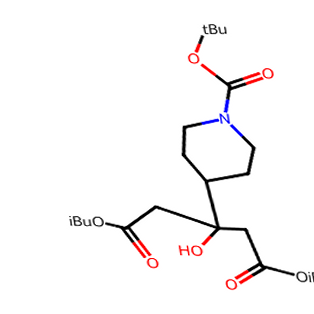 CC(C)COC(=O)CC(O)(CC(=O)OCC(C)C)C1CCN(C(=O)OC(C)(C)C)CC1